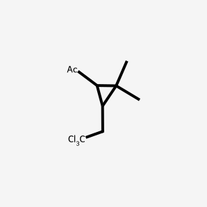 CC(=O)C1C(CC(Cl)(Cl)Cl)C1(C)C